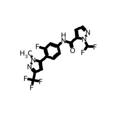 Cn1nc(C(F)(F)F)cc1-c1ccc(NC(=O)c2ccnn2C(F)F)cc1F